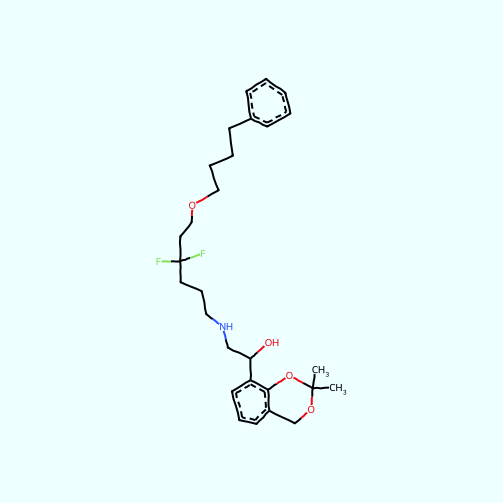 CC1(C)OCc2cccc(C(O)CNCCCC(F)(F)CCOCCCCc3ccccc3)c2O1